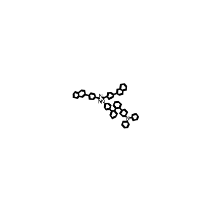 c1ccc(N(c2ccccc2)c2ccc(-c3ccccc3-c3ccccc3-c3ccc(-n4nc(-c5ccc(-c6ccc7ccccc7c6)cc5)nc4-c4ccc(-c5ccc6ccccc6c5)cc4)cc3)cc2)cc1